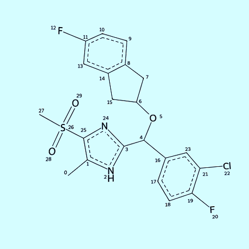 Cc1[nH]c(C(OC2Cc3ccc(F)cc3C2)c2ccc(F)c(Cl)c2)nc1S(C)(=O)=O